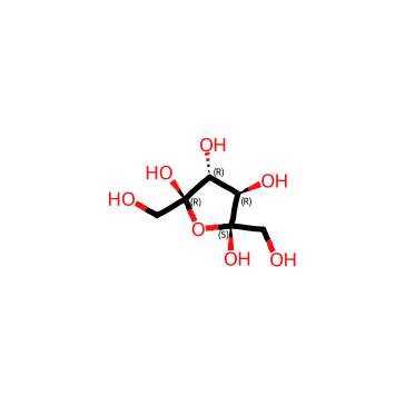 OC[C@@]1(O)O[C@@](O)(CO)[C@H](O)[C@H]1O